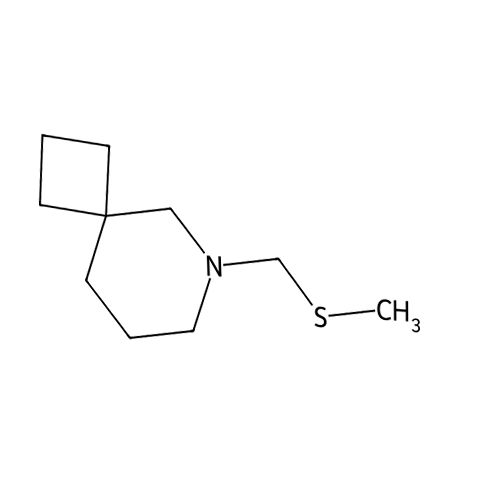 CSCN1CCCC2(CCC2)C1